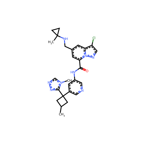 CC1CC(c2cncc(NC(=O)c3cc(CNC4(C)CC4)cc4c(Cl)cnn34)c2)(c2nncn2C)C1